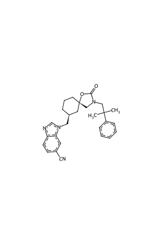 CC(C)(CN1C[C@@]2(CCC[C@H](Cn3cnc4ccc(C#N)cc43)C2)OC1=O)c1ccccc1